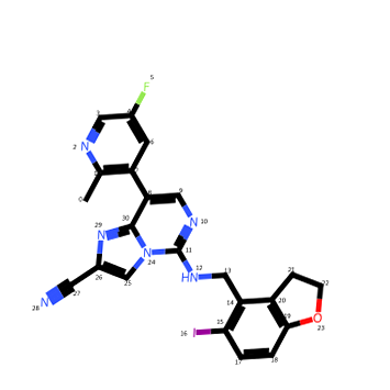 Cc1ncc(F)cc1-c1cnc(NCc2c(I)ccc3c2CCO3)n2cc(C#N)nc12